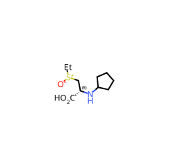 CC[S+]([O-])C[C@H](NC1CCCC1)C(=O)O